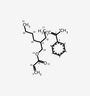 C=C(C)c1ccccc1.C=CC(=O)OCC(CC)CCCC